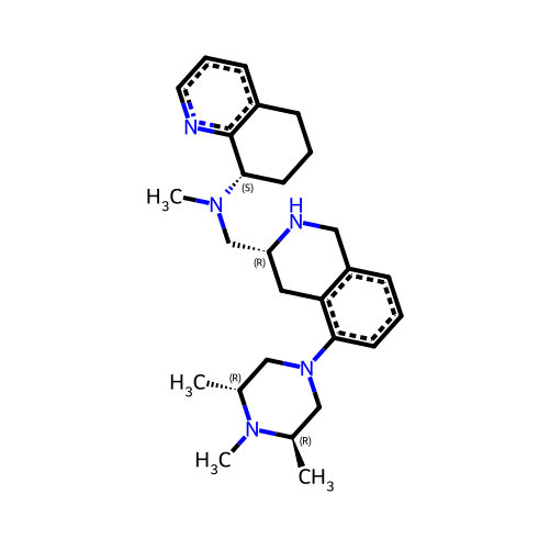 C[C@@H]1CN(c2cccc3c2C[C@H](CN(C)[C@H]2CCCc4cccnc42)NC3)C[C@@H](C)N1C